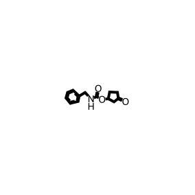 O=C1CCC(OC(=O)NCc2ccccc2)C1